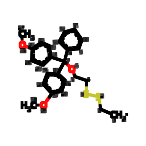 [CH2]CSSCCOC(c1ccccc1)(c1ccc(OC)cc1)c1ccc(OC)cc1